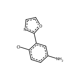 Nc1ccc(Cl)c(-c2ncco2)c1